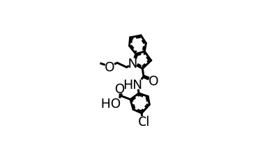 COCCn1c(C(=O)Nc2ccc(Cl)cc2C(=O)O)cc2ccccc21